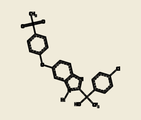 CCn1c(C(O)(c2ccc(Cl)cc2)C(F)(F)F)nc2ccc(Oc3ccc(S(C)(=O)=O)cc3)cc21